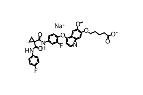 COc1cc2c(Oc3ccc(NC(=O)C4(C(=O)Nc5ccc(F)cc5)CC4)cc3F)ccnc2cc1OCCCCC(=O)[O-].[Na+]